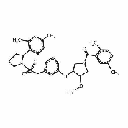 COC1CN(C(=O)c2cc(C)ccc2C)CC1Oc1cccc(CS(=O)(=O)N2CCCC2c2ccc(C)nc2C)c1